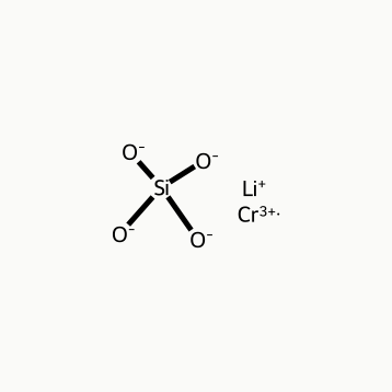 [Cr+3].[Li+].[O-][Si]([O-])([O-])[O-]